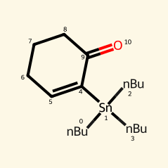 CCC[CH2][Sn]([CH2]CCC)([CH2]CCC)[C]1=CCCCC1=O